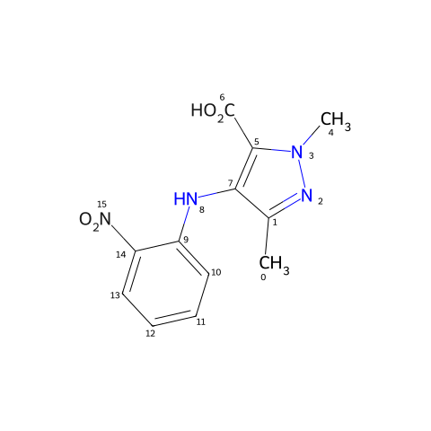 Cc1nn(C)c(C(=O)O)c1Nc1ccccc1[N+](=O)[O-]